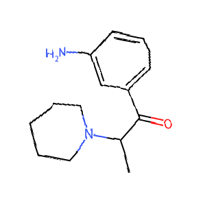 CC(C(=O)c1cccc(N)c1)N1CCCCC1